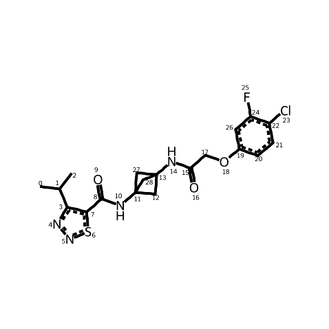 CC(C)c1nnsc1C(=O)NC12CC(NC(=O)COc3ccc(Cl)c(F)c3)(C1)C2